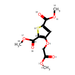 COC(=O)COc1cc(C(=O)OC)sc1C(=O)OC